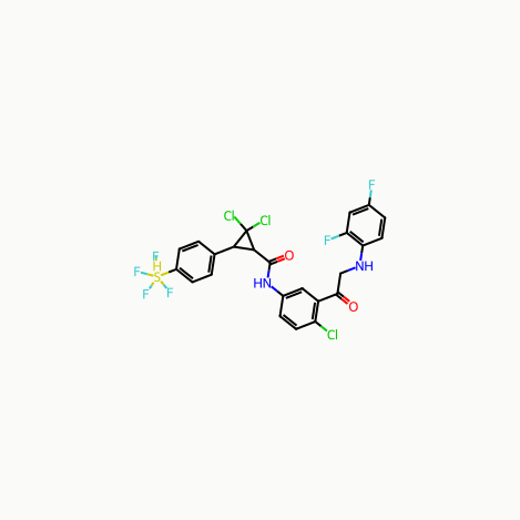 O=C(CNc1ccc(F)cc1F)c1cc(NC(=O)C2C(c3ccc([SH](F)(F)(F)F)cc3)C2(Cl)Cl)ccc1Cl